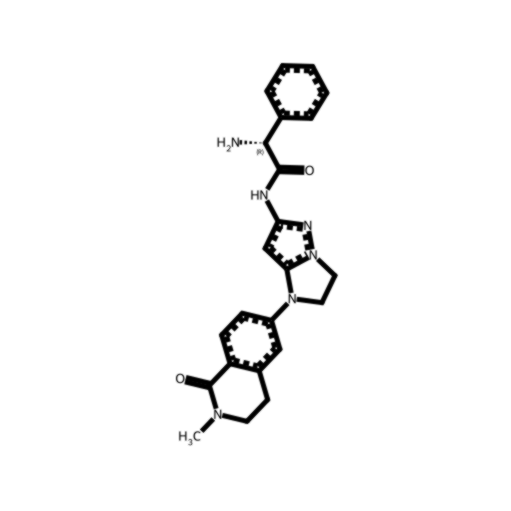 CN1CCc2cc(N3CCn4nc(NC(=O)[C@H](N)c5ccccc5)cc43)ccc2C1=O